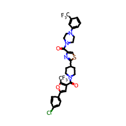 O=C(c1csc(C2CCN(C(=O)c3cc(-c4ccc(Cl)cc4)oc3C(F)(F)F)CC2)n1)N1CCN(c2cccc(C(F)(F)F)c2)CC1